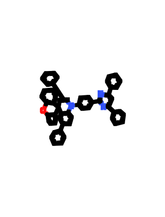 c1ccc(-c2ccc3c(c2)C2(c4ccccc4Oc4ccccc42)c2cc(-c4ccccc4)ccc2N3c2ccc(-c3nc(-c4ccccc4)cc(-c4ccccc4)n3)cc2)cc1